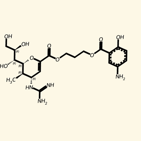 C[C@H]1[C@H]([C@H](O)[C@H](O)CO)OC(C(=O)OCCCOC(=O)c2cc(N)ccc2O)=C[C@@H]1NC(=N)N